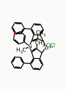 CC1=C2c3c(-c4ccccc4)cccc3[CH]1[Zr+2][CH]1C(C)=C(c3c(-c4ccccc4)cccc31)[Si]2(C)c1ccccc1.[Cl-].[Cl-]